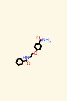 NC(=O)c1ccc(OCCNC(=O)c2ccccc2)cc1